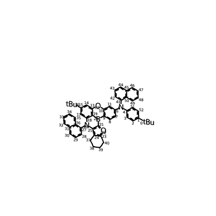 CC(C)(C)c1ccc(N(c2ccc3c(c2)Oc2cc(C(C)(C)C)cc4c2B3c2oc3c(c2N4c2cccc4ccccc24)CCCC3)c2cccc3ccccc23)cc1